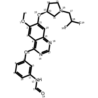 COc1cc2c(Oc3cccc(NC=O)c3)ncnc2cc1O[C@H]1CCN(CC(F)F)C1